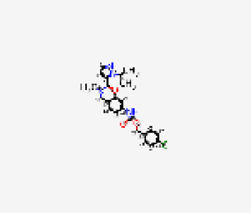 CC(C)n1nccc1C(=O)N(C)Cc1ccc(NC(=O)OCc2ccc(Cl)cc2)cc1